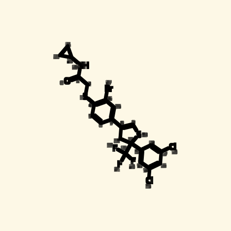 O=C(CSc1ccc(C2=CSC(c3cc(Cl)cc(Cl)c3)(C(F)(F)F)C2)cc1Br)NC1CC1